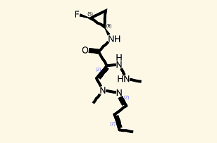 C/C=C\C=N/N(C)/C=C(\NNC)C(=O)N[C@@H]1C[C@@H]1F